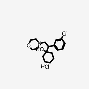 Cl.OC1(C(CN2CCOCC2)c2cccc(Cl)c2)CCCCC1